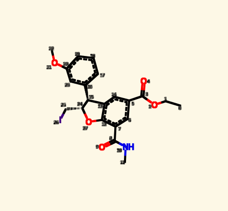 CCOC(=O)c1cc(C(=O)NC)c2c(c1)[C@H](c1cccc(OC)c1)[C@@H](CI)O2